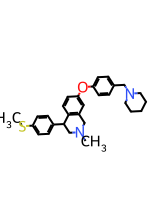 CSc1ccc(C2CN(C)Cc3cc(Oc4ccc(CN5CCCCC5)cc4)ccc32)cc1